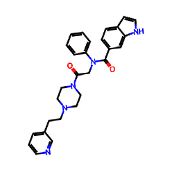 O=C(CN(C(=O)c1ccc2cc[nH]c2c1)c1ccccc1)N1CCN(CCc2cccnc2)CC1